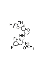 CC(=O)N[C@@H](Cc1cc(F)cc(F)c1)[C@@H](S)CN[C@H]1CCOc2ccc(OC(C)C)cc21